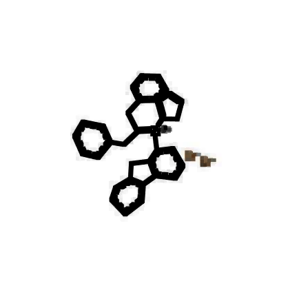 C1=CC[C]([Zr+2](=[C](Cc2ccccc2)Cc2ccccc2)[c]2cccc3c2Cc2ccccc2-3)=C1.[Br-].[Br-]